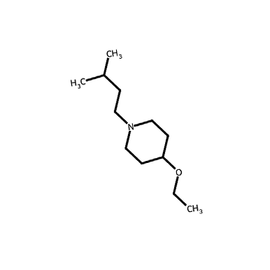 CCOC1CCN(CCC(C)C)CC1